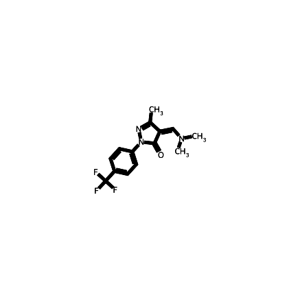 CC1=NN(c2ccc(C(F)(F)F)cc2)C(=O)C1=CN(C)C